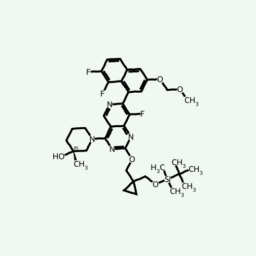 COCOc1cc(-c2ncc3c(N4CCC[C@@](C)(O)C4)nc(OCC4(CO[Si](C)(C)C(C)(C)C)CC4)nc3c2F)c2c(F)c(F)ccc2c1